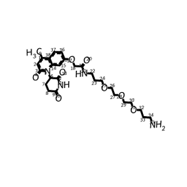 Cc1cc(=O)n(C2CCC(=O)NC2=O)c2cc(OCC(=O)NCCCOCCOCCOCCCN)ccc12